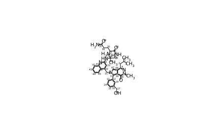 CC(C)Cc1nn(C)c(=O)c2c(-c3cccc(CO)c3)n(Cc3cc(NC(C)(C)CNC(=O)C(N)CCC(N)=O)nc4ccccc34)cc12